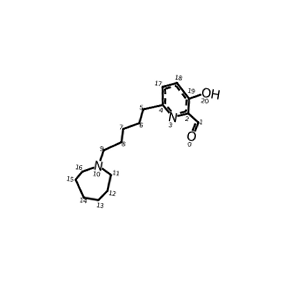 O=Cc1nc(CCCCCN2CCCCCC2)ccc1O